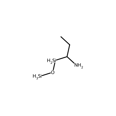 CCC(N)[SiH2]O[SiH3]